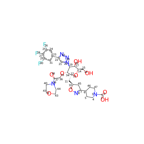 O=C(O)N1CCC(C2=NO[C@@H](C[C@H]3O[C@H](CO)[C@H](O)[C@H](n4cc(-c5cc(F)c(F)c(F)c5)nn4)[C@H]3OCC(=O)N3CCOCC3)C2)CC1